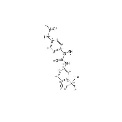 CC(=O)Nc1ccc(N(S)C(=O)Nc2ccc(Cl)c(C(F)(F)F)c2)cc1